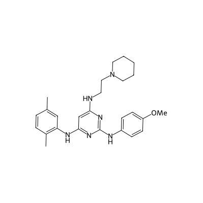 COc1ccc(Nc2nc(NCCN3CCCCC3)cc(Nc3cc(C)ccc3C)n2)cc1